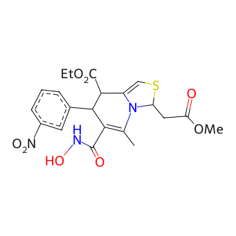 CCOC(=O)C1C2=CSC(CC(=O)OC)N2C(C)=C(C(=O)NO)C1c1cccc([N+](=O)[O-])c1